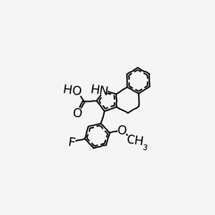 COc1ccc(F)cc1-c1c(C(=O)O)[nH]c2c1CCc1ccccc1-2